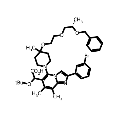 Cc1c(C(OC(C)(C)C)C(=O)O)c(N2CCC(C)(OCCOC[C@H](C)OCc3ccccc3)CC2)n2cc(-c3cccc(Br)c3)nc2c1C